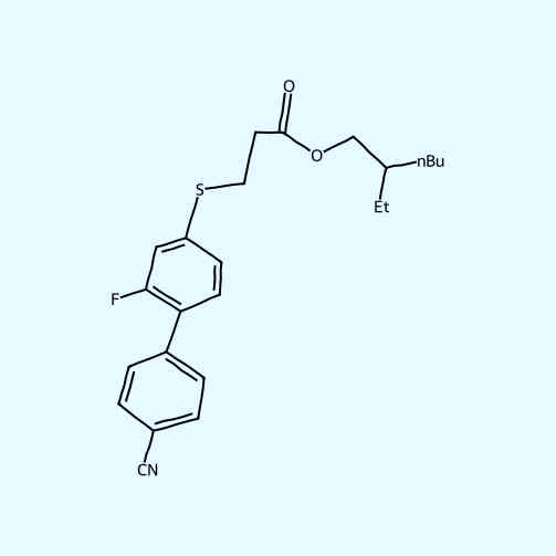 CCCCC(CC)COC(=O)CCSc1ccc(-c2ccc(C#N)cc2)c(F)c1